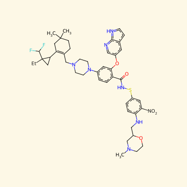 CCC1(C(F)F)CC1C1=C(CN2CCN(c3ccc(C(=O)NSc4ccc(NCC5CN(C)CCO5)c([N+](=O)[O-])c4)c(Oc4cnc5[nH]ccc5c4)c3)CC2)CCC(C)(C)C1